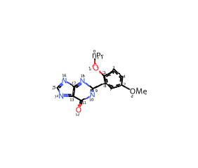 CCCOc1ccc(OC)cc1C1=NC(=O)C2=NC=NC2=N1